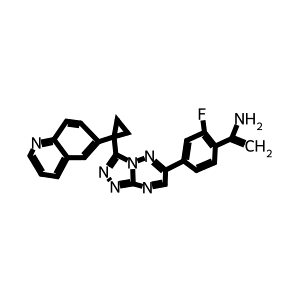 C=C(N)c1ccc(-c2cnc3nnc(C4(c5ccc6ncccc6c5)CC4)n3n2)cc1F